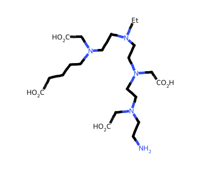 CCN(CCN(CCCCC(=O)O)CC(=O)O)CCN(CCN(CCN)CC(=O)O)CC(=O)O